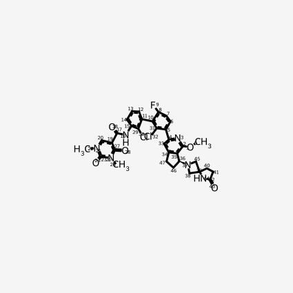 COc1nc(-c2ccc(F)c(-c3cccc(NC(=O)c4cn(C)c(=O)n(C)c4=O)c3Cl)c2Cl)cc2c1[C@@H](N1CC3(CCC(=O)N3)C1)CC2